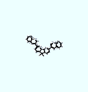 CC1(C)c2ccc(-c3cnc4ncccc4c3)nc2-c2nc(-c3cnc4ncccc4c3)ccc21